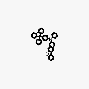 c1ccc(N(c2ccc(C3(c4ccccc4)c4ccccc4-c4ccccc43)cc2)c2ccc3cc4c(cc3c2)oc2ccccc24)cc1